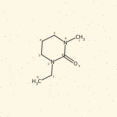 CCN1CCCN(C)C1=O